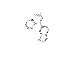 CCOC(=O)C=C(c1ccc2cc[nH]c2c1)c1ccccn1